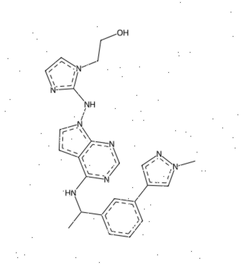 CC(Nc1ncnc2c1ccn2Nc1nccn1CCO)c1cccc(-c2cnn(C)c2)c1